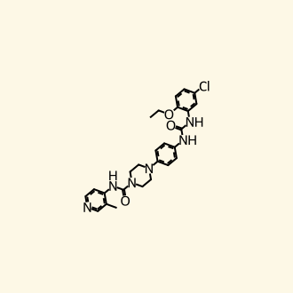 CCOc1ccc(Cl)cc1NC(=O)Nc1ccc(N2CCN(C(=O)Nc3ccncc3C)CC2)cc1